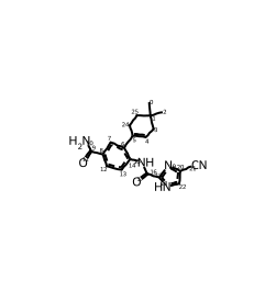 CC1(C)CC=C(c2cc(C(N)=O)ccc2NC(=O)c2nc(C#N)c[nH]2)CC1